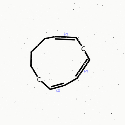 [C]1=C\CCCC/C=C\C=C/C/1